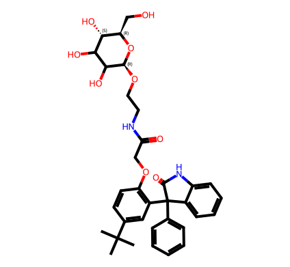 CC(C)(C)c1ccc(OCC(=O)NCCO[C@@H]2O[C@H](CO)[C@@H](O)C(O)C2O)c(C2(c3ccccc3)C(=O)Nc3ccccc32)c1